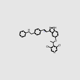 CC(Oc1ccc2[nH]nc(/C=C/c3ccc(CNc4ccccc4)cc3)c2c1)c1c(Cl)cncc1Cl